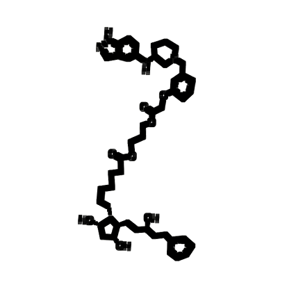 O=C(CCC/C=C\C[C@@H]1[C@@H](CC[C@@H](O)CCc2ccccc2)[C@H](O)C[C@@H]1O)OCCCOC(=O)COc1cccc(CN2CCC[C@H](Nc3ccc4[nH]ncc4c3)C2)c1